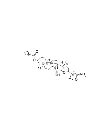 CC(C)[C@@H](OC(N)=O)C1C[C@@H](C)[C@H]2C(O1)[C@H](O)[C@@]1(C)C3CC[C@H]4C(C)(C)C(OC(=O)N5CCC5)CC[C@@]45C[C@@]35CC[C@]21C